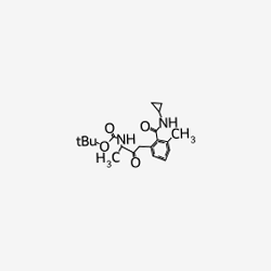 Cc1cccc(CC(=O)C(C)NC(=O)OC(C)(C)C)c1C(=O)NC1CC1